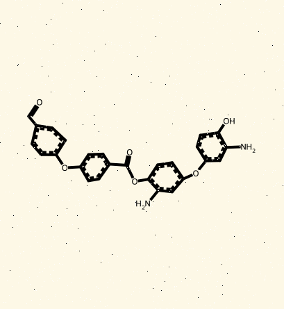 Nc1cc(Oc2ccc(OC(=O)c3ccc(Oc4ccc(C=O)cc4)cc3)c(N)c2)ccc1O